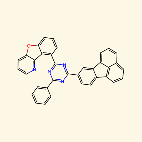 c1ccc(-c2nc(-c3ccc4c(c3)-c3cccc5cccc-4c35)nc(-c3cccc4oc5cccnc5c34)n2)cc1